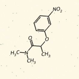 CC(Oc1cccc([N+](=O)[O-])c1)C(=O)N(C)C